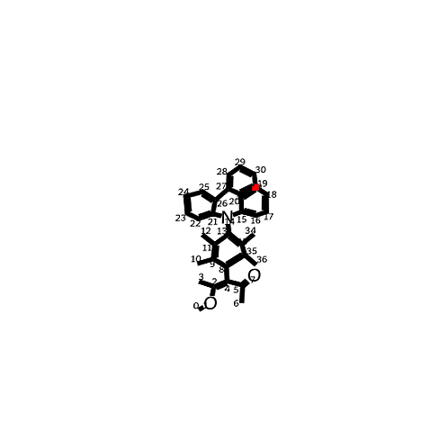 CO/C(C)=C(\C(C)=O)c1c(C)c(C)c(N(c2ccccc2)c2ccccc2-c2ccccc2)c(C)c1C